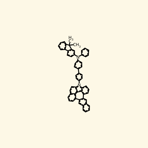 CC1(C)c2ccccc2-c2ccc(N(c3ccccc3)c3ccc(-c4ccc(-n5c6cccc7c6c6c8c(cccc8ccc65)-c5cc6ccccc6cc5-7)cc4)cc3)cc21